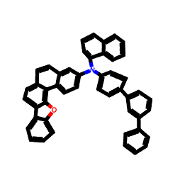 c1ccc(-c2cccc(-c3ccc(N(c4ccc5c(ccc6ccc7c8ccccc8oc7c65)c4)c4cccc5ccccc45)cc3)c2)cc1